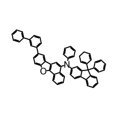 C1=CC(C2(c3ccccc3)c3ccccc3-c3ccc(N(c4ccccc4)c4cc5c6cc(-c7cccc(-c8ccccc8)c7)ccc6oc5c5ccccc45)cc32)=CCC1